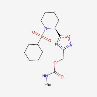 CC(C)(C)NC(=O)OCc1noc([C@@H]2CCCCN2S(=O)(=O)C2CCCCC2)n1